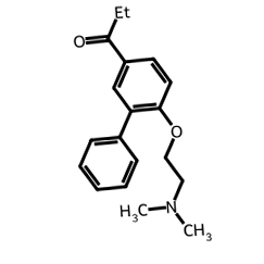 CCC(=O)c1ccc(OCCN(C)C)c(-c2ccccc2)c1